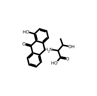 CC(O)C(N)C(=O)O.O=C1c2ccccc2Cc2cccc(O)c21